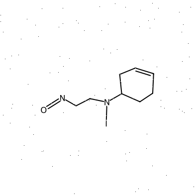 O=NCCN(I)C1CC=CCC1